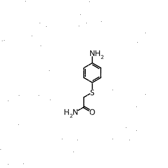 NC(=O)CSc1ccc(N)cc1